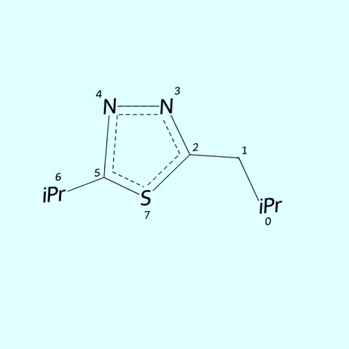 CC(C)Cc1nnc(C(C)C)s1